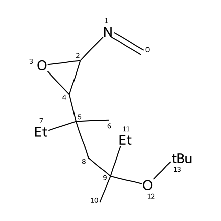 C=NC1OC1C(C)(CC)CC(C)(CC)OC(C)(C)C